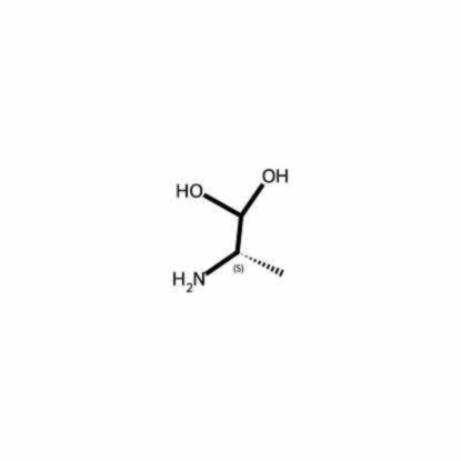 C[C@H](N)C(O)O